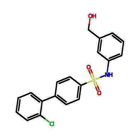 O=S(=O)(Nc1cccc(CO)c1)c1ccc(-c2ccccc2Cl)cc1